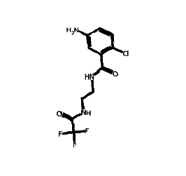 Nc1ccc(Cl)c(C(=O)NCCNC(=O)C(F)(F)F)c1